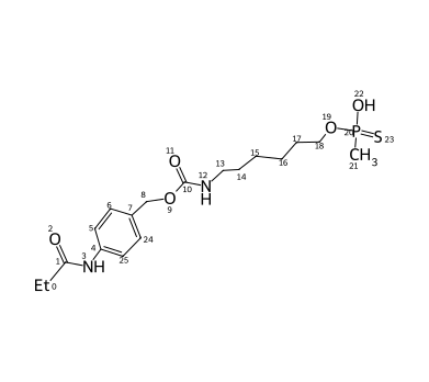 CCC(=O)Nc1ccc(COC(=O)NCCCCCCOP(C)(O)=S)cc1